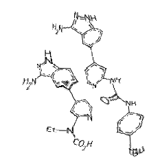 CC(C)(C)c1ccc(NC(=O)Nc2cc(-c3ccc4[nH]nc(N)c4c3)ccn2)cc1.CCN(C(=O)O)c1cc(-c2ccc3[nH]nc(N)c3c2)ccn1